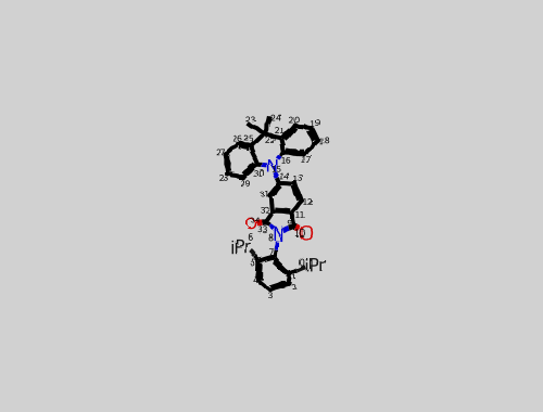 CC(C)c1cccc(C(C)C)c1N1C(=O)c2ccc(N3c4ccccc4C(C)(C)c4ccccc43)cc2C1=O